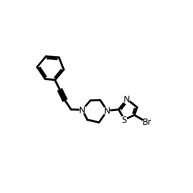 Brc1cnc(N2CCN(CC#Cc3ccccc3)CC2)s1